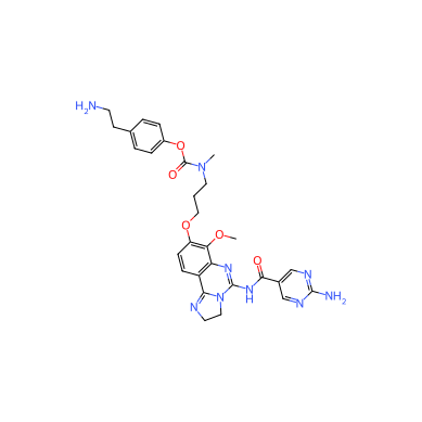 COc1c(OCCCN(C)C(=O)Oc2ccc(CCN)cc2)ccc2c1N=C(NC(=O)c1cnc(N)nc1)N1CCN=C21